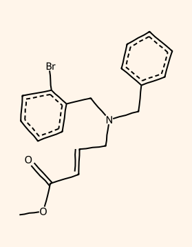 COC(=O)C=CCN(Cc1ccccc1)Cc1ccccc1Br